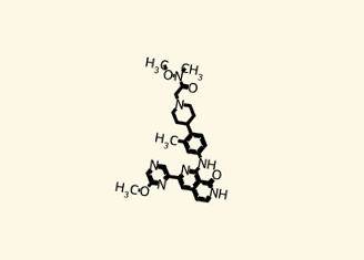 COc1cncc(-c2cc3cc[nH]c(=O)c3c(Nc3ccc(C4CCN(CC(=O)N(C)OC)CC4)c(C)c3)n2)n1